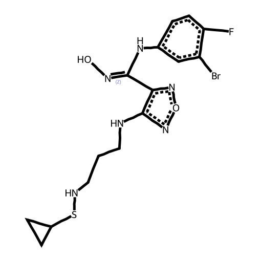 O/N=C(\Nc1ccc(F)c(Br)c1)c1nonc1NCCCNSC1CC1